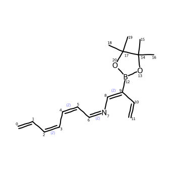 C=C\C=C/C=C\C=N/C=C(\C=C)B1OC(C)(C)C(C)(C)O1